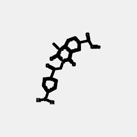 CCN(CC)c1ccc(C(=O)Cn2c(=O)c3cc(C(=O)OC)ccc3n(C)c2=O)cc1